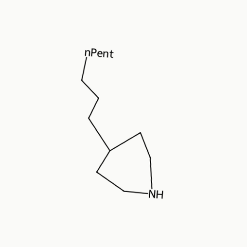 [CH2]CCCCCCCC1CCNCC1